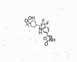 CC(C)(C)C1(C(=O)O)CCC(CNc2cc(-c3n[nH]c(=O)o3)ccc2C(F)(F)F)CC1